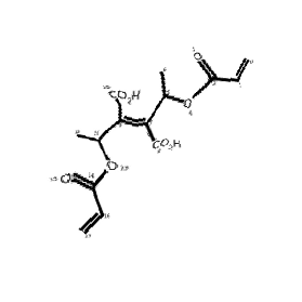 C=CC(=O)OC(C)C(C(=O)O)=C(C(=O)O)C(C)OC(=O)C=C